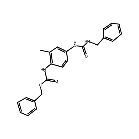 Cc1cc(NC(=O)NCc2ccccc2)ccc1NC(=O)OCc1ccccc1